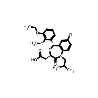 CCOc1cccc([C@H]2S[C@H](CC(=O)O)C(=O)N(CC(C)C)c3ccc(Cl)cc32)c1OC